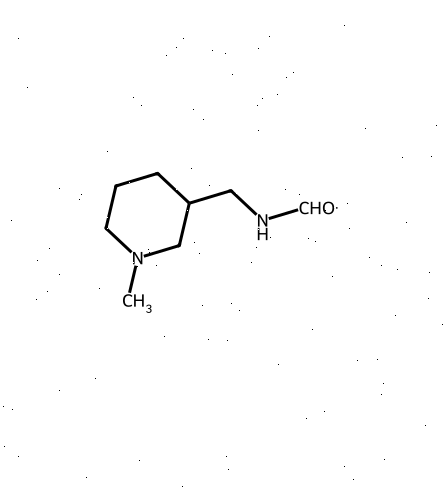 CN1CCCC(CN[C]=O)C1